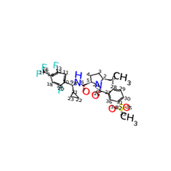 CC[C@@H]1CC[C@H](C(=O)NC(c2cc(F)c(C(F)F)cc2F)C2CC2)N1C(=O)c1cccc(S(C)(=O)=O)c1